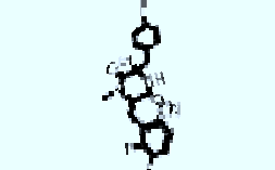 CCC1(Cc2ccc(F)cc2)NC(=O)C(Cc2c(C#N)ccc(F)c2F)N(C)C1=O